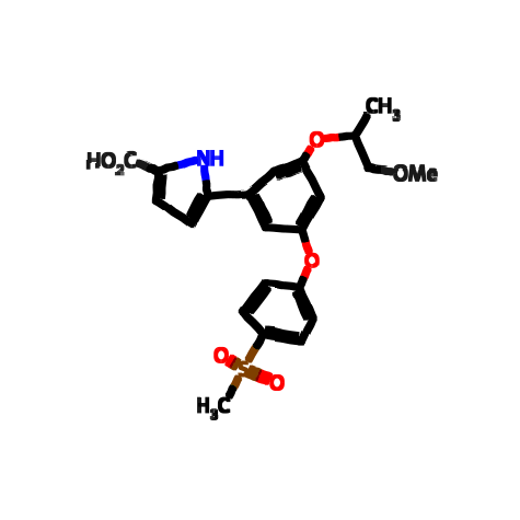 COCC(C)Oc1cc(Oc2ccc(S(C)(=O)=O)cc2)cc(-c2ccc(C(=O)O)[nH]2)c1